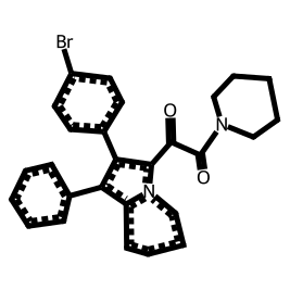 O=C(C(=O)N1CCCCC1)c1c(-c2ccc(Br)cc2)c(-c2ccccc2)c2ccccn12